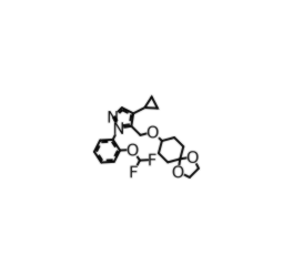 FC(F)Oc1ccccc1-n1ncc(C2CC2)c1COC1CCC2(CC1)OCCO2